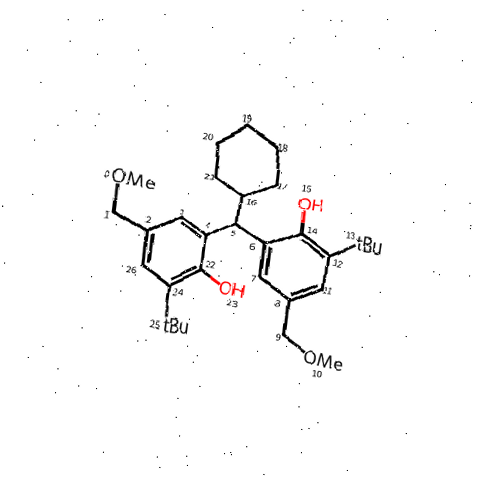 COCc1cc(C(c2cc(COC)cc(C(C)(C)C)c2O)C2CCCCC2)c(O)c(C(C)(C)C)c1